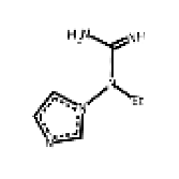 CCN(C(=N)N)n1ccnc1